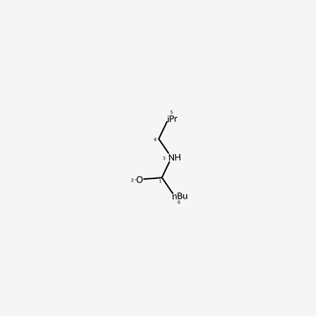 CCCCC([O])NCC(C)C